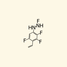 C=Cc1c(F)cc(NNF)c(F)c1F